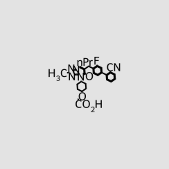 CCCc1c(Cc2ccc(-c3ccccc3C#N)cc2F)c(=O)n(C2CCC(OCC(=O)O)CC2)c2nc(C)nn12